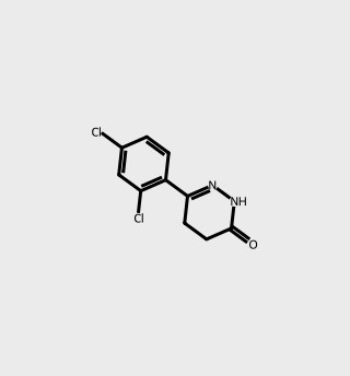 O=C1CCC(c2ccc(Cl)cc2Cl)=NN1